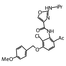 COc1ccc(COc2ccc(C(C)=O)c(NC(=O)c3coc(NC(C)C)n3)c2Cl)cc1